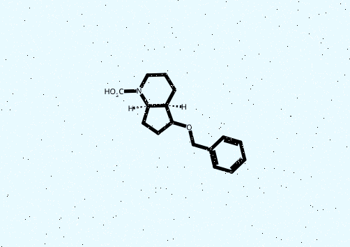 O=C(O)N1CCC[C@H]2C(OCc3ccccc3)CC[C@H]21